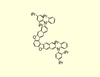 CC(C)c1ccc(N(c2ccc3cc4c(cc3c2)oc2ccc3oc5cc6cc(N(c7ccccc7C(C)C)c7ccc(C(C)C)cc7C(C)C)ccc6cc5c3c24)c2ccccc2C(C)C)c(C(C)C)c1